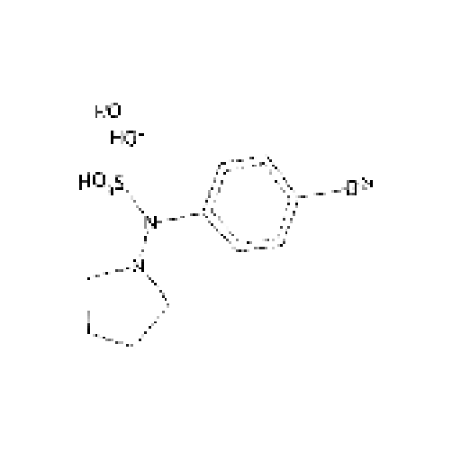 [B+2]c1ccc(N(N2CCCC2)S(=O)(=O)O)cc1.[OH-].[OH-]